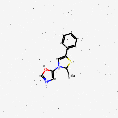 CCCCC1SC(c2ccccc2)=[C]N1c1cnco1